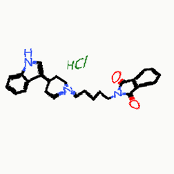 Cl.O=C1c2ccccc2C(=O)N1CCCCCN1CCC(c2c[nH]c3ccccc23)CC1